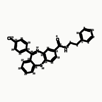 O=C(NCCc1ccncc1)c1ccc2c(c1)N=C(c1ccc(Cl)cc1)c1ccccc1S2